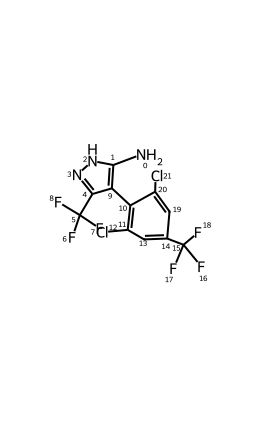 Nc1[nH]nc(C(F)(F)F)c1-c1c(Cl)cc(C(F)(F)F)cc1Cl